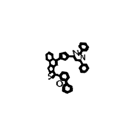 C1=CC2C(C3=CC=C(C4CC(c5ccccc5)=NC(c5ccccc5)=N4)C3)=CC3=C(Cc4scc(-c5cccc6c5oc5ccccc56)c43)C2C=C1